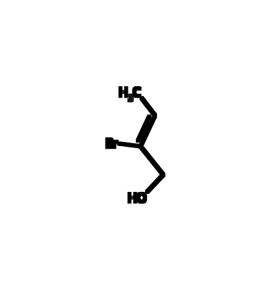 CC=C(Br)CO